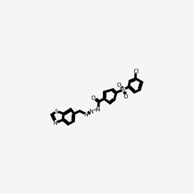 O=C(N=[N+]=NCc1ccc2ncsc2c1)c1ccc(S(=O)(=O)c2cccc(Cl)c2)cc1